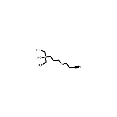 CC[Si](O)(CC)CCCOCCC#N